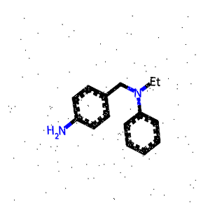 CCN(Cc1ccc(N)cc1)c1ccccc1